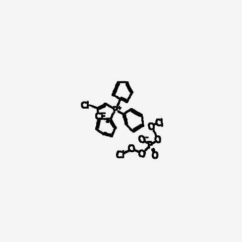 FC(F)(F)C(Cl)=C[P+](c1ccccc1)(c1ccccc1)c1ccccc1.O=P([O-])(OOCl)OOCl